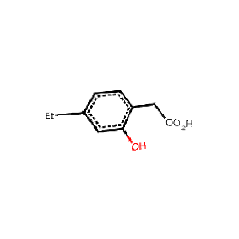 CCc1ccc(CC(=O)O)c(O)c1